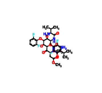 COC(=O)C[C@H](NC(=O)[C@@H](N)C(C)C)C(=O)C(Oc1c(F)cccc1F)C(=O)C(Oc1c(F)cccc1F)C(=O)[C@H](CC(=O)OC)NC(=O)[C@@H](N)C(C)C